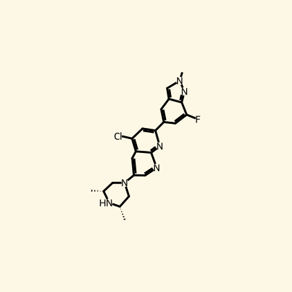 C[C@@H]1CN(c2cnc3nc(-c4cc(F)c5nn(C)cc5c4)cc(Cl)c3c2)C[C@H](C)N1